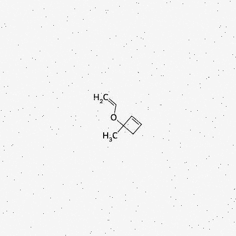 C=COC1(C)C=CC1